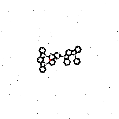 C1=Cc2c(c3c(ccc4c5ccccc5n(-c5ccccc5)c43)n2-c2ncc3nc(-n4c5ccccc5c5ccc6c7ccccc7n(-c7ccccc7)c6c54)cnc3n2)CC1